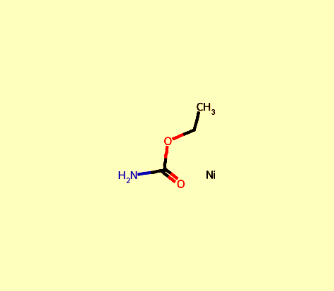 CCOC(N)=O.[Ni]